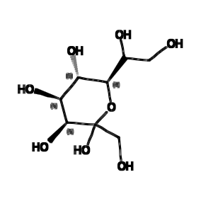 OCC(O)[C@H]1OC(O)(CO)[C@@H](O)[C@@H](O)[C@@H]1O